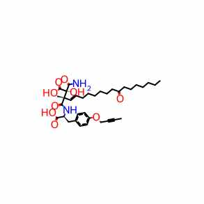 CC#CCOc1ccc(C[C@H](NC(=O)[C@@](C)(/C=C/CCCCCCC(=O)CCCCCCC)[C@](O)(C(N)=O)C(=O)O)C(=O)O)cc1